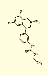 CCNC(=O)Nc1cccc(C2CN(C)Cc3c(Cl)cc(Cl)cc32)c1